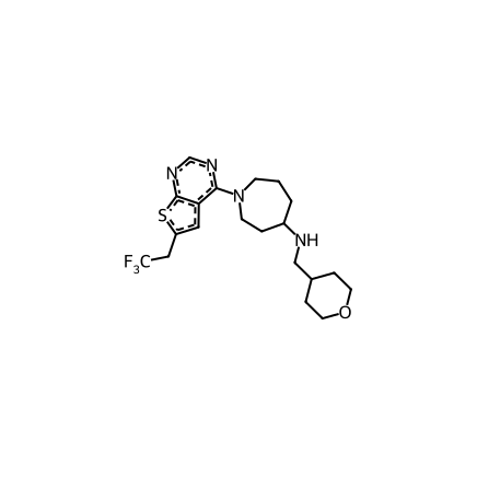 FC(F)(F)Cc1cc2c(N3CCCC(NCC4CCOCC4)CC3)ncnc2s1